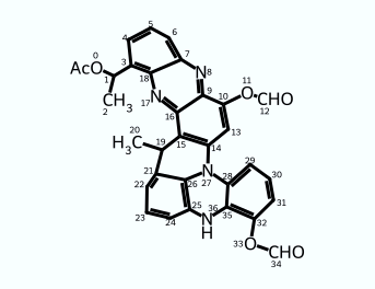 CC(=O)OC(C)c1cccc2nc3c(OC=O)cc4c(c3nc12)C(C)c1cccc2c1N4c1cccc(OC=O)c1N2